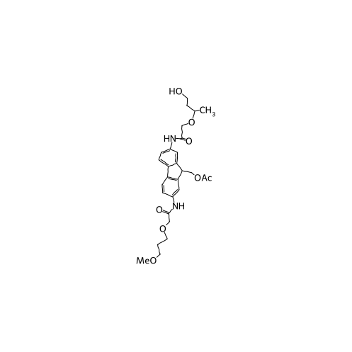 COCCCOCC(=O)Nc1ccc2c(c1)C(COC(C)=O)c1cc(NC(=O)COC(C)CCO)ccc1-2